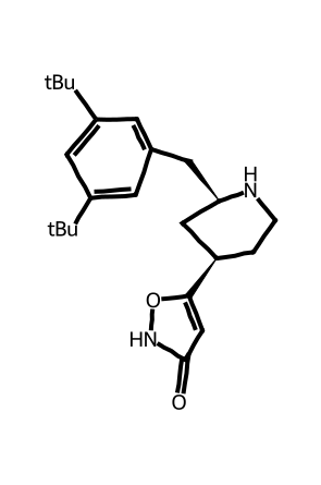 CC(C)(C)c1cc(C[C@@H]2C[C@H](c3cc(=O)[nH]o3)CCN2)cc(C(C)(C)C)c1